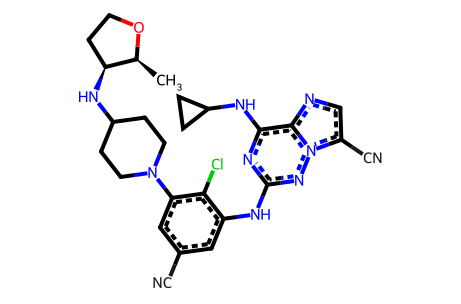 C[C@@H]1OCC[C@@H]1NC1CCN(c2cc(C#N)cc(Nc3nc(NC4CC4)c4ncc(C#N)n4n3)c2Cl)CC1